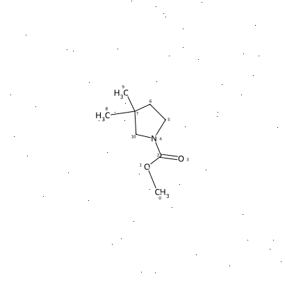 COC(=O)N1CCC(C)(C)C1